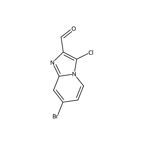 O=Cc1nc2cc(Br)ccn2c1Cl